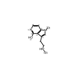 CCNCCc1cn(CC)c2ccnc(O)c12